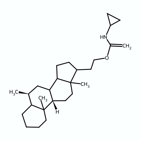 C=C(NC1CC1)OCCC1CCC2C3C[C@H](C)C4CCCCC4(C)[C@H]3CCC12C